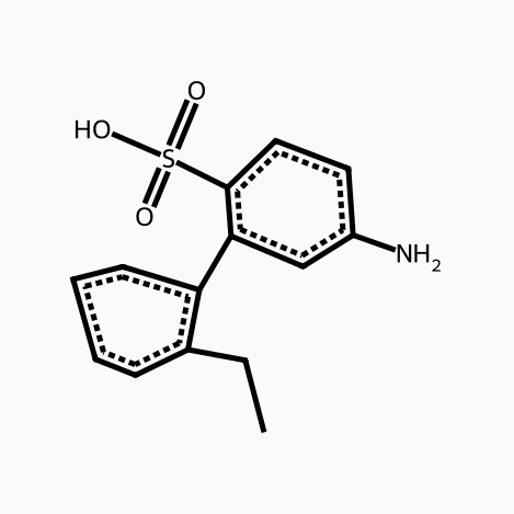 CCc1ccccc1-c1cc(N)ccc1S(=O)(=O)O